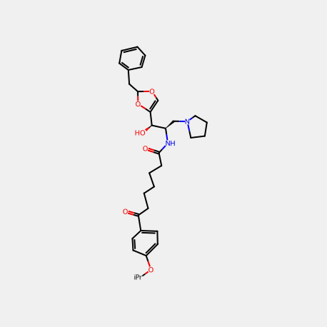 CC(C)Oc1ccc(C(=O)CCCCCC(=O)N[C@H](CN2CCCC2)[C@@H](O)C2=COC(Cc3ccccc3)O2)cc1